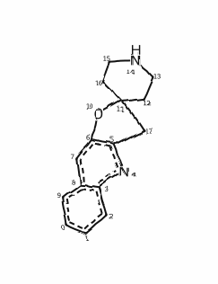 c1ccc2nc3c(cc2c1)OC1(CCNCC1)C3